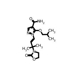 CC(C)COc1c(C(N)=O)cnn1/C=C/C(C)(C)N1CCOC1=O